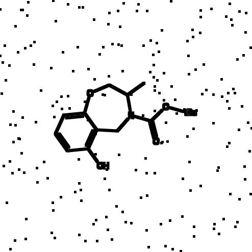 CC1COc2cccc(O)c2CN1C(=O)OC(C)(C)C